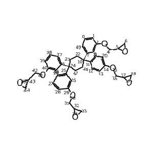 c1cc(OCC2CO2)cc(C2(c3ccc(OCC4CO4)cc3)CCC(c3cccc(OCC4CO4)c3)(c3cccc(OCC4CO4)c3)CC2)c1